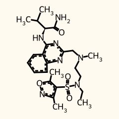 CCN(CCN(C)Cc1nc(N[C@H](C(N)=O)C(C)C)c2ccccc2n1)S(=O)(=O)c1c(C)noc1C